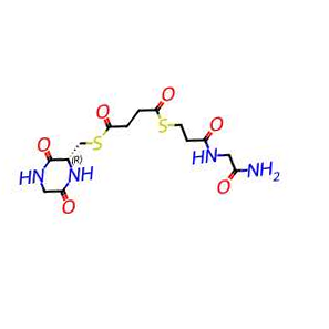 NC(=O)CNC(=O)CCSC(=O)CCC(=O)SC[C@@H]1NC(=O)CNC1=O